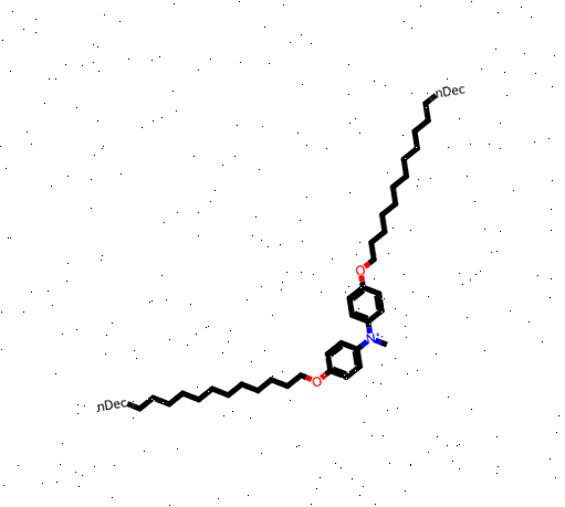 CCCCCCCCCCCCCCCCCCCCCCOc1ccc([N+](C)c2ccc(OCCCCCCCCCCCCCCCCCCCCCC)cc2)cc1